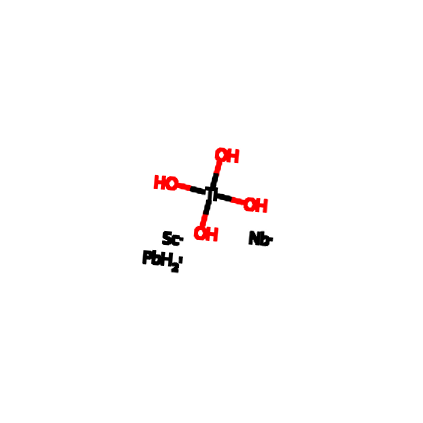 [Nb].[OH][Ti]([OH])([OH])[OH].[PbH2].[Sc]